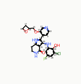 O=C1NCCc2[nH]c(-c3ccncc3OCC3CCO3)c(Nc3cc(F)cc(Cl)c3O)c21